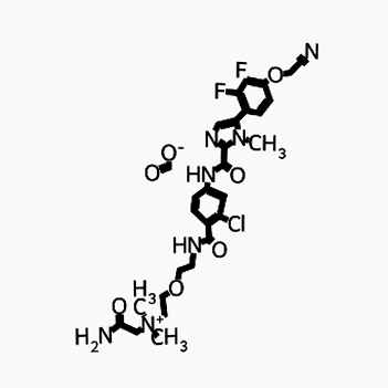 Cn1c(-c2ccc(OCC#N)c(F)c2F)cnc1C(=O)Nc1ccc(C(=O)NCCOCC[N+](C)(C)CC(N)=O)c(Cl)c1.O=C[O-]